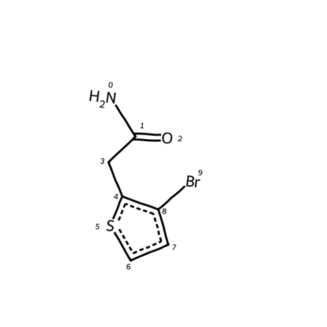 NC(=O)Cc1sccc1Br